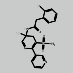 NS(=O)(=O)C1=C(c2cccnc2)N=CC(NC(=O)Cc2ccccc2Cl)(C(F)(F)F)C1